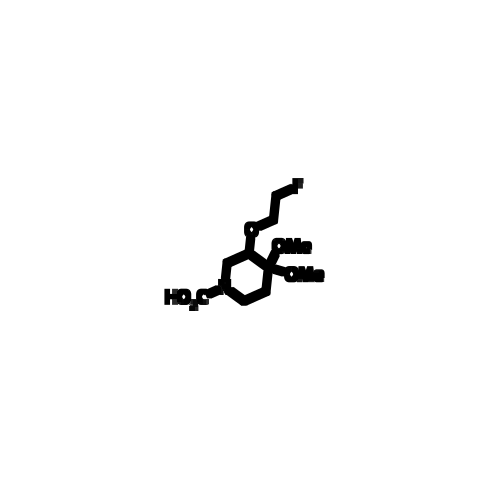 COC1(OC)CCN(C(=O)O)CC1OCCF